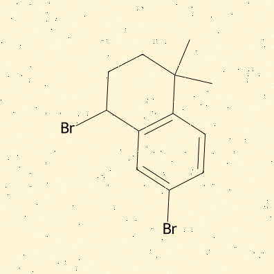 CC1(C)CCC(Br)c2cc(Br)ccc21